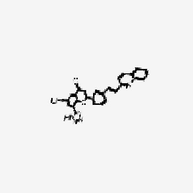 O=c1cc(-c2cccc(/C=C/c3ccc4ccccc4n3)c2)oc2c(-c3nnn[nH]3)cc(Cl)cc12